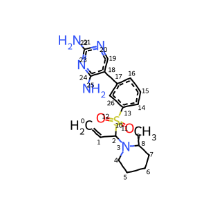 C=CC(N1CCCCC1C)S(=O)(=O)c1cccc(-c2cnc(N)nc2N)c1